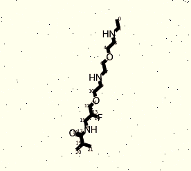 CCNCCOCCNCCOCC(F)CNC(=O)C(C)C